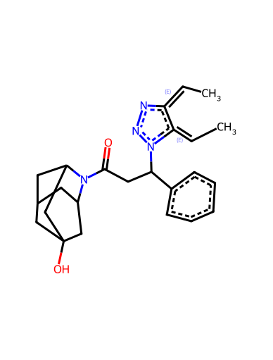 C/C=c1/nnn(C(CC(=O)N2C3CC4CC2CC(O)(C4)C3)c2ccccc2)/c1=C/C